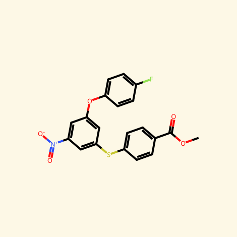 COC(=O)c1ccc(Sc2cc(Oc3ccc(F)cc3)cc([N+](=O)[O-])c2)cc1